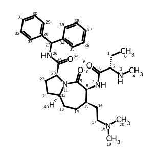 CC[C@H](NC)C(=O)N[C@@H]1C(=O)N2[C@@H](CC[C@@H]1CCN(C)C)CC[C@H]2C(=O)NC(c1ccccc1)c1ccccc1